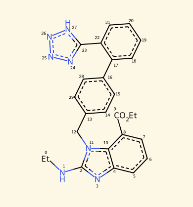 CCNc1nc2cccc(C(=O)OCC)c2n1Cc1ccc(-c2ccccc2-c2nnn[nH]2)cc1